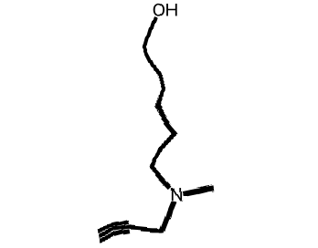 C#CCN(C)CCCCCO